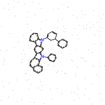 C1=CC(c2ccccc2)CC(n2c3ccccc3c3cc4c5ccc6ccccc6c5n(-c5ccccc5)c4cc32)=C1